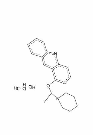 CC(Oc1cccc2nc3ccccc3cc12)N1CCCCC1.Cl.Cl.Cl